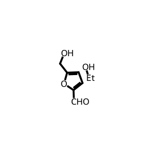 CCO.O=Cc1ccc(CO)o1